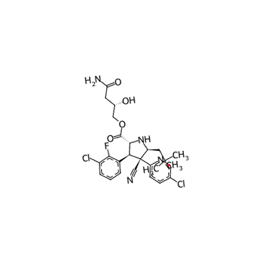 CC(C)(C)C[C@@H]1N[C@@H](C(=O)OC[C@@H](O)CC(N)=O)[C@H](c2cccc(Cl)c2F)[C@@]1(C#N)c1ccc(Cl)cn1